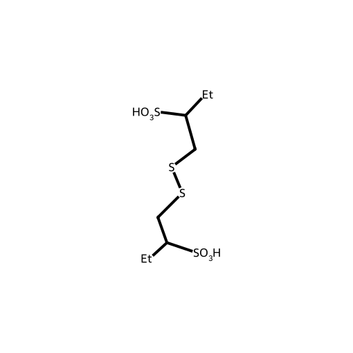 CCC(CSSCC(CC)S(=O)(=O)O)S(=O)(=O)O